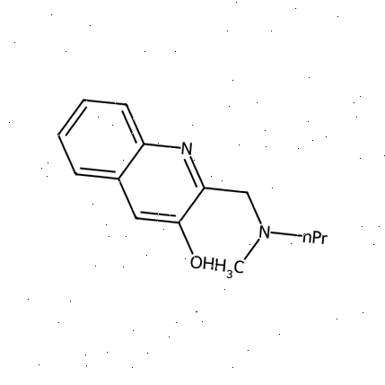 CCCN(C)Cc1nc2ccccc2cc1O